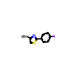 CC(C)(C)c1csc(-c2ccc(I)cc2)n1